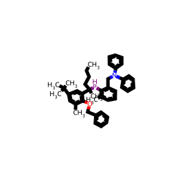 CCCCC(C)(Pc1c(C)cccc1CN(c1ccccc1)c1ccccc1)c1cc(C(C)(C)C)cc(C)c1OCc1ccccc1